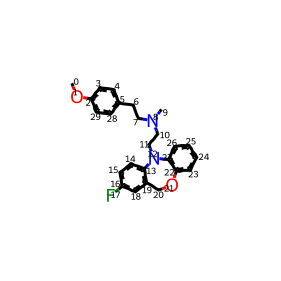 COc1ccc(CCN(C)CCN2c3ccc(F)cc3COc3ccccc32)cc1